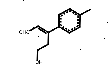 Cc1ccc(C(=CC=O)CCO)cc1